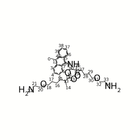 Cc1c2ccccc2c(NC2OC(C(C)CCCCOCCN)OOC2(C)CCCCOCCN)c2ccccc12